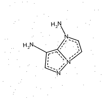 Nc1cnn2ccn(N)c12